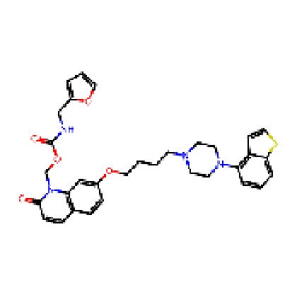 O=C(NCc1ccco1)OCn1c(=O)ccc2ccc(OCCCCN3CCN(c4cccc5sccc45)CC3)cc21